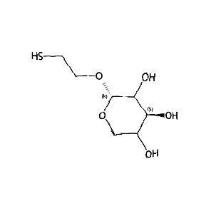 OC1CO[C@H](OCCS)C(O)[C@H]1O